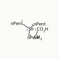 CC(=O)O.CCCC[CH2][Sn]([CH2]CCCC)[CH2]CCCC